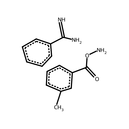 Cc1cccc(C(=O)ON)c1.N=C(N)c1ccccc1